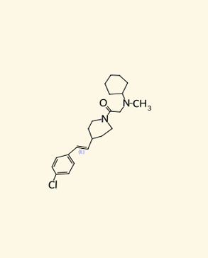 CN(CC(=O)N1CCC(/C=C/c2ccc(Cl)cc2)CC1)C1CCCCC1